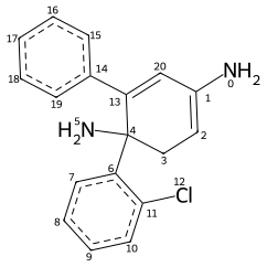 NC1=CCC(N)(c2ccccc2Cl)C(c2ccccc2)=C1